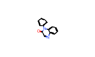 O=c1cnc2ccccc2n1-c1ccccc1